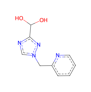 OC(O)c1ncn(Cc2ccccn2)n1